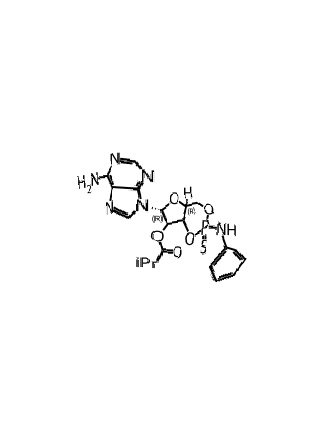 CC(C)C(=O)OC1C2OP(=S)(Nc3ccccc3)OC[C@H]2O[C@H]1n1cnc2c(N)ncnc21